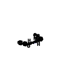 CC(C)(C)OC(=O)Nc1ccccc1NC(=O)/C=C/CCCNC(=O)c1ccc(N2CCOCC2)cc1